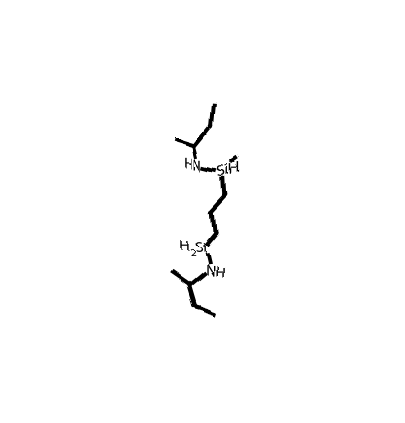 CCC(C)N[SiH2]CCC[SiH](C)NC(C)CC